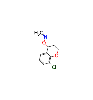 C=NOC1CCOc2c(Cl)cccc21